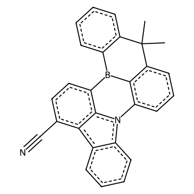 CC1(C)c2ccccc2B2c3c(cccc31)-n1c3ccccc3c3c(C#N)ccc2c31